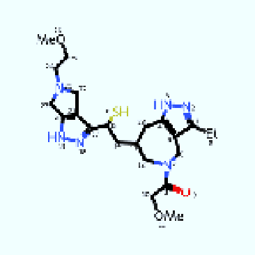 CCc1n[nH]c2c1CN(C(=O)COC)CC(CC(S)c1n[nH]c3c1CN(CCOC)C3)C2